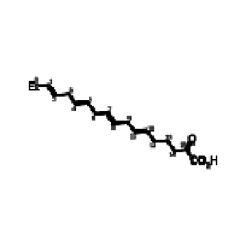 CCC=CCC=CCC=CCC=CCCCC(=O)C(=O)O